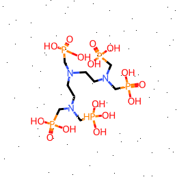 O=P(O)(O)CN(CCN(CP(=O)(O)O)CP(=O)(O)O)CCN(CP(=O)(O)O)C[PH](O)(O)O